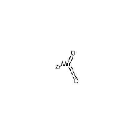 [O]=[Mn]=[O].[Zr]